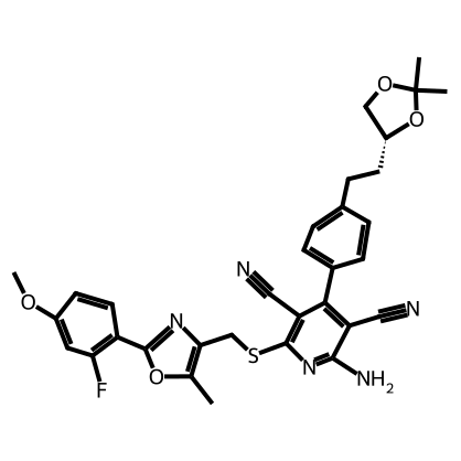 COc1ccc(-c2nc(CSc3nc(N)c(C#N)c(-c4ccc(CC[C@@H]5COC(C)(C)O5)cc4)c3C#N)c(C)o2)c(F)c1